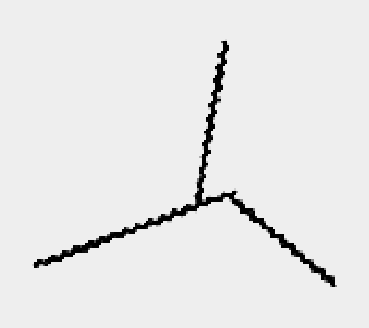 CCCCCCCCCCCCCCCCCCCCCCCCCCCC(C[CH]CCC(C)CCCCCCCCCCCCCCCCCCCCC)CCCCCCCCCCCCCCCCCCCCCCCCC